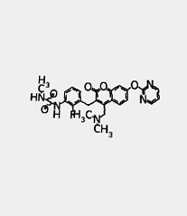 CNS(=O)(=O)Nc1cccc(Cc2c(CN(C)C)c3ccc(Oc4ncccn4)cc3oc2=O)c1F